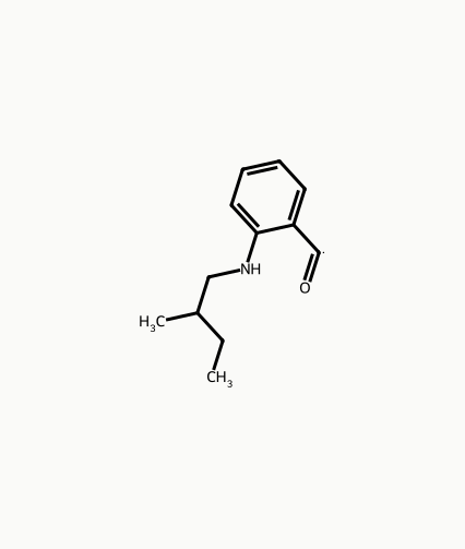 CCC(C)CNc1ccccc1[C]=O